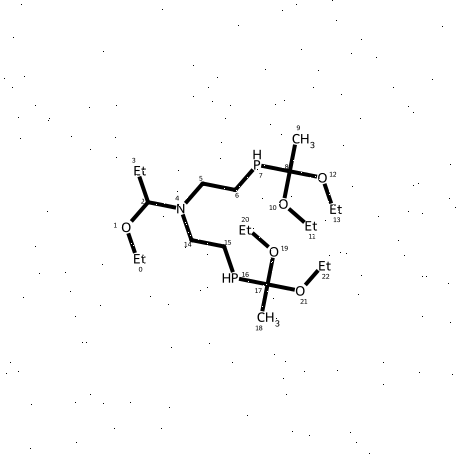 CCOC(CC)N(CCPC(C)(OCC)OCC)CCPC(C)(OCC)OCC